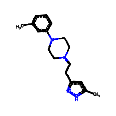 Cc1cccc(N2CCN(CCc3cc(C)[nH]n3)CC2)c1